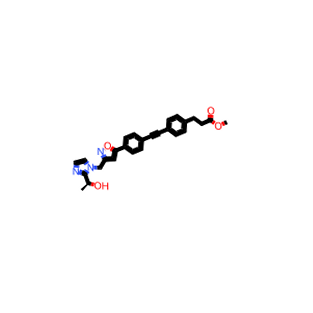 COC(=O)CCc1ccc(C#Cc2ccc(-c3cc(Cn4ccnc4[C@H](C)O)no3)cc2)cc1